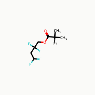 CCC(C)(C)C(=O)OCC(F)(F)CC(F)F